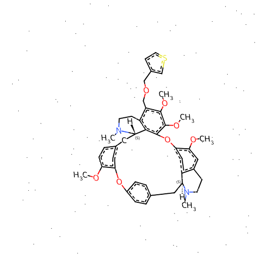 COc1ccc2cc1Oc1ccc(cc1)C[C@H]1c3cc(c(OC)cc3CCN1C)Oc1c(OC)c(OC)c(COCc3ccsc3)c3c1[C@H](C2)N(C)CC3